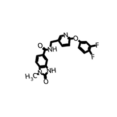 Cn1c(=O)[nH]c2cc(C(=O)NCc3ccc(Oc4ccc(F)c(F)c4)nc3)ccc21